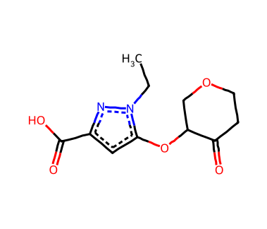 CCn1nc(C(=O)O)cc1OC1COCCC1=O